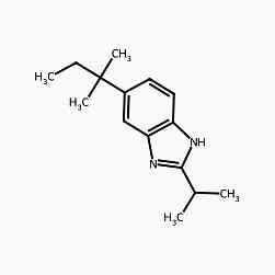 CCC(C)(C)c1ccc2[nH]c(C(C)C)nc2c1